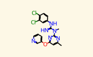 Cc1cc(Oc2cccnc2)nc(N(C)C(=N)Nc2ccc(Cl)c(Cl)c2)n1